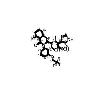 C=C/C(N[C@@H](CC)c1nc2cccc(F)c2c(=O)n1-c1cccc(OCC(F)(F)F)c1)=C1/N=CN/C1=N/C